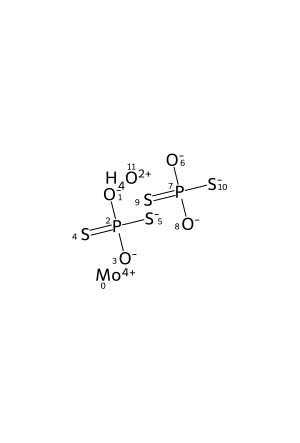 [Mo+4].[O-]P([O-])(=S)[S-].[O-]P([O-])(=S)[S-].[OH4+2]